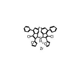 Cc1cc(-c2ccccc2)c2c(c1)C([SiH2]C1C(c3ccco3)=C(Cl)c3c(-c4ccccc4)cc(C)cc31)C(c1ccco1)=C2Cl.[Zr]